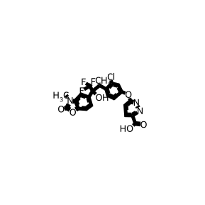 CC(c1ccc(Oc2ccc(C(=O)O)nn2)cc1Cl)C(O)(c1ccc2oc(=O)n(C)c2c1)C(F)(F)F